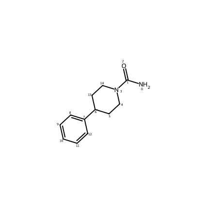 NC(=O)N1CC[C](c2ccccc2)CC1